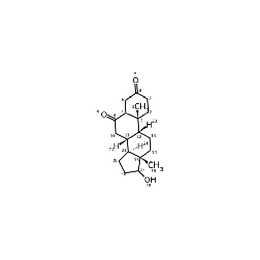 C[C@]12CCC(=O)CC1C(=O)C[C@@H]1[C@H]2CC[C@]2(C)C(O)CC[C@@H]12